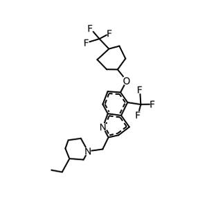 CCC1CCCN(Cc2ccc3c(C(F)(F)F)c(OC4CCC(C(F)(F)F)CC4)ccc3n2)C1